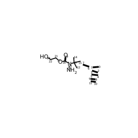 C=C.C=C.C=C.C=C.C=C.C=C.CC(C)(C)N(N)C(=O)OCCO